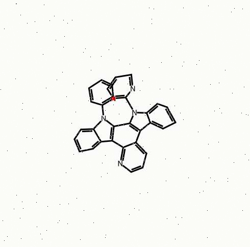 c1ccc(-n2c3ccccc3c3c4ncccc4c4c5ccccc5n(-c5ncccn5)c4c32)cc1